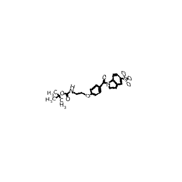 CC(C)(C)OC(=O)NCCOc1ccc(C(=O)N2CCc3cc(S(=O)(=O)Cl)ccc32)cc1